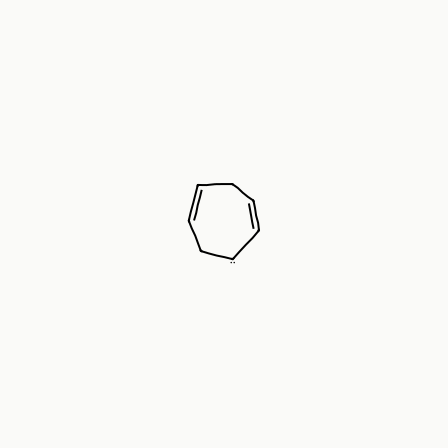 [C]1C=CCC=CC1